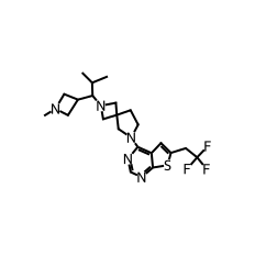 CC(C)C(C1CN(C)C1)N1CC2(CCN(c3ncnc4sc(CC(F)(F)F)cc34)C2)C1